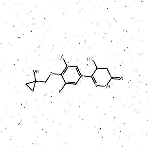 Cc1cc(C2=NNC(=O)CC2C)cc(F)c1OCC1(O)CC1